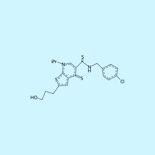 CC(C)n1cc(C(=S)NCc2ccc(Cl)cc2)c(=S)c2cc(CCCO)sc21